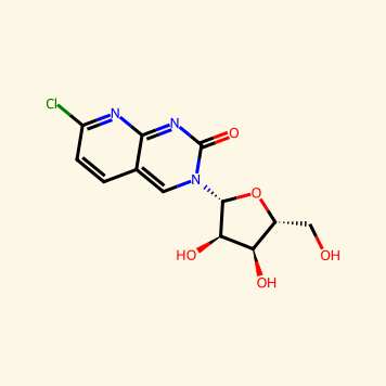 O=c1nc2nc(Cl)ccc2cn1[C@@H]1O[C@H](CO)[C@@H](O)[C@H]1O